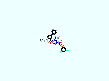 CNc1ccc(-c2cccc(C(F)(F)F)c2)cc1C(=O)N1CCN(C(=O)COc2cc(F)cc(F)c2)CC1C=O